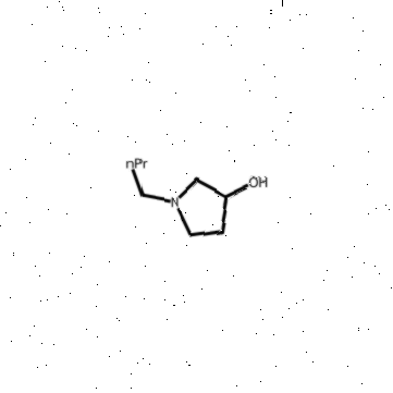 CCCCN1CCC(O)C1